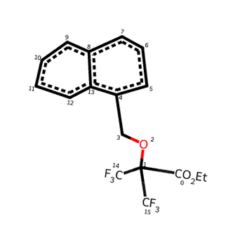 CCOC(=O)C(OCc1cccc2ccccc12)(C(F)(F)F)C(F)(F)F